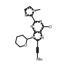 CCCCC#Cc1nc2c(Cl)nc(-c3nccn3C)nc2n1C1CCCCO1